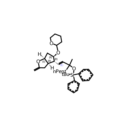 C=C1C[C@@H]2[C@@H](/C=C/C(C)(CCCCC)O[Si](c3ccccc3)(c3ccccc3)C(C)(C)C)[C@H](OC3CCCCO3)C[C@@H]2O1